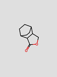 O=C1OCC2C3CCC(CC3)C12